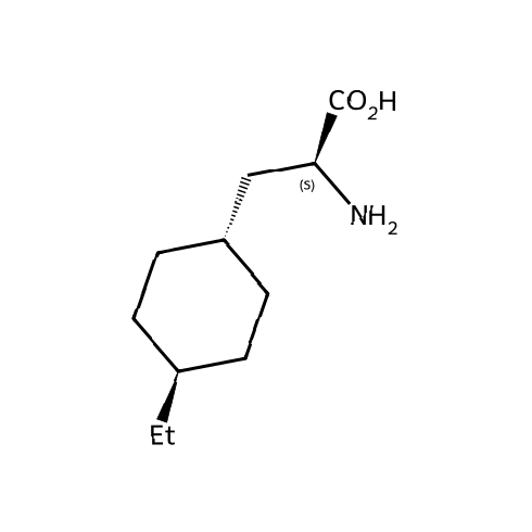 CC[C@H]1CC[C@H](C[C@H](N)C(=O)O)CC1